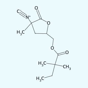 [C-]#[N+]C1(C)CC(COC(=O)C(C)(C)CC)OC1=O